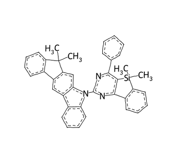 CC1(C)c2ccccc2-c2cc3c4ccccc4n(-c4nc(-c5ccccc5)c5c(n4)-c4ccccc4[Si]5(C)C)c3cc21